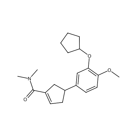 COc1ccc(C2CC=C(C(=O)N(C)C)C2)cc1OC1CCCC1